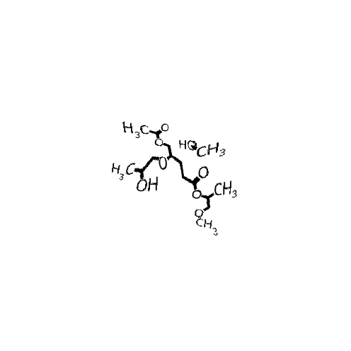 CO.COCC(C)OC(=O)CCC(COC(C)=O)OCC(C)O